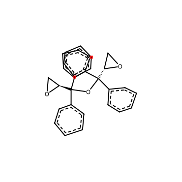 c1ccc(C(OC(c2ccccc2)(c2ccccc2)[C@@H]2CO2)(c2ccccc2)[C@@H]2CO2)cc1